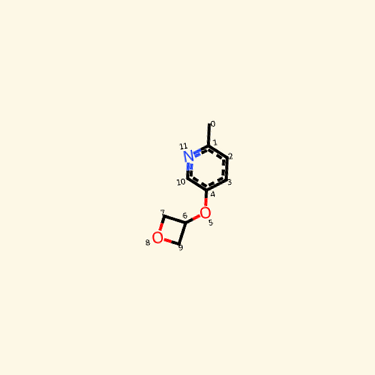 Cc1ccc(OC2COC2)cn1